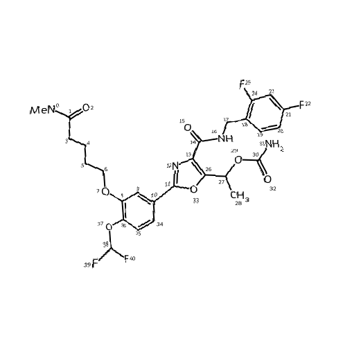 CNC(=O)CCCCOc1cc(-c2nc(C(=O)NCc3ccc(F)cc3F)c(C(C)OC(N)=O)o2)ccc1OC(F)F